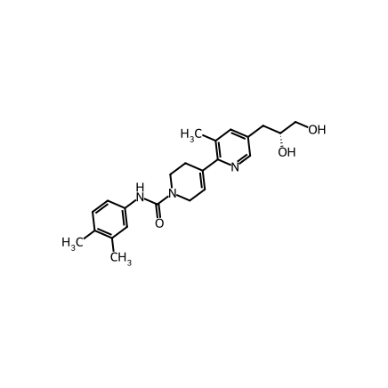 Cc1ccc(NC(=O)N2CC=C(c3ncc(C[C@@H](O)CO)cc3C)CC2)cc1C